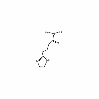 CC(C)N(C(=O)CCCc1n[c]c[nH]1)C(C)C